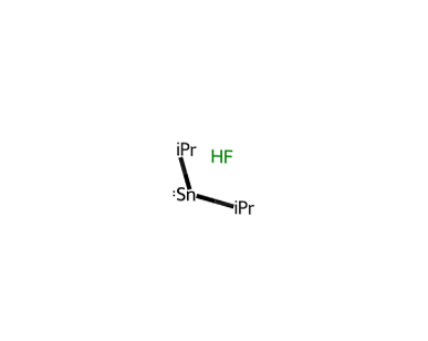 C[CH](C)[Sn][CH](C)C.F